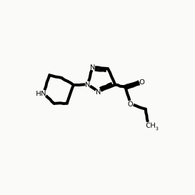 CCOC(=O)c1cnn(C2CCNCC2)n1